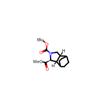 COC(=O)[C@@H]1[C@H]2C3CCC(CC3)[C@H]2CN1C(=O)OC(C)(C)C